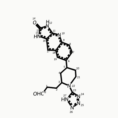 O=CCCC1CC(c2ccc3nc4[nH]c(=O)[nH]c4cc3c2)CCN1c1nnn[nH]1